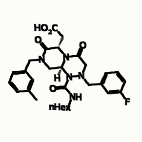 CCCCCCNC(=O)N1[C@H]2CN(Cc3cccc(C)c3)C(=O)[C@H](CC(=O)O)N2C(=O)CN1Cc1cccc(F)c1